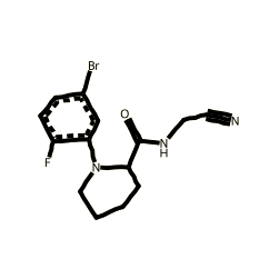 N#CCNC(=O)C1CCCCN1c1cc(Br)ccc1F